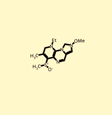 CCN1CC(C)=C([S+](C)[O-])C2=C1N1CN(OC)C=C1C=N2